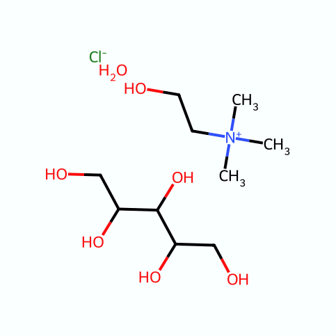 C[N+](C)(C)CCO.O.OCC(O)C(O)C(O)CO.[Cl-]